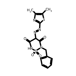 Cc1nc(N=NC2C(=O)NS(=O)(=O)N(Cc3ccccc3)C2=O)sc1C